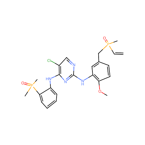 C=CP(C)(=O)Cc1ccc(OC)c(Nc2ncc(Cl)c(Nc3ccccc3P(C)(C)=O)n2)c1